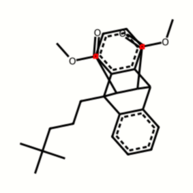 COC(=O)C1C2c3ccccc3C(CCCC(C)(C)C)(c3ccccc32)C1C(=O)OC